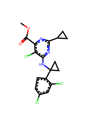 COC(=O)c1nc(C2CC2)nc(NC2(c3ccc(Cl)cc3Cl)CC2)c1Cl